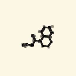 COC(=O)N1CCCc2cnccc21